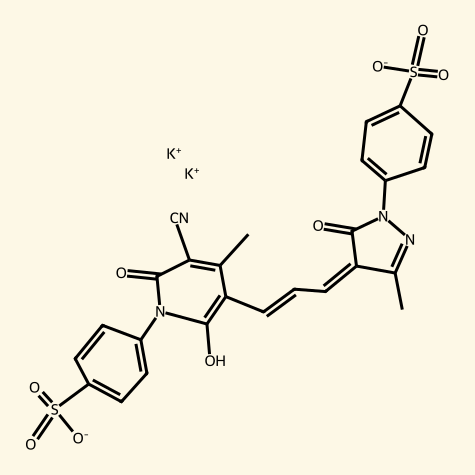 CC1=NN(c2ccc(S(=O)(=O)[O-])cc2)C(=O)C1=CC=Cc1c(C)c(C#N)c(=O)n(-c2ccc(S(=O)(=O)[O-])cc2)c1O.[K+].[K+]